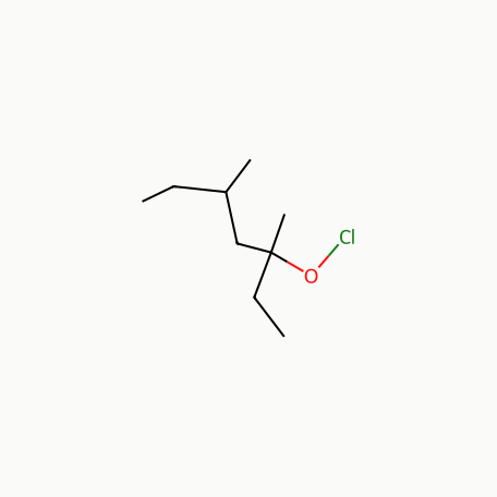 CCC(C)CC(C)(CC)OCl